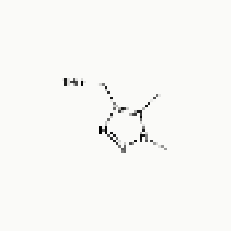 Cc1c(CC(C)(C)C)nnn1C